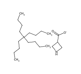 CCCC[N+](CCCC)(CCCC)CCCC.O=C([O-])C1CNC1